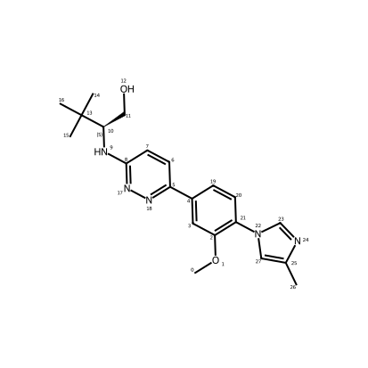 COc1cc(-c2ccc(N[C@H](CO)C(C)(C)C)nn2)ccc1-n1cnc(C)c1